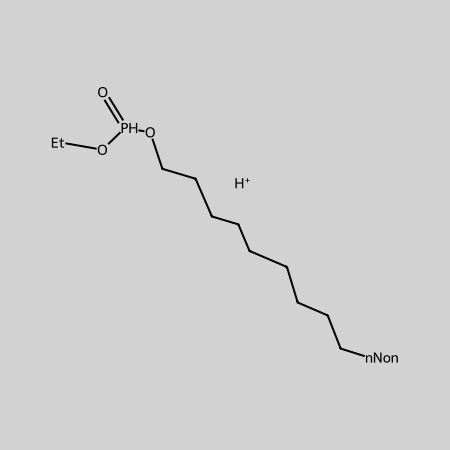 CCCCCCCCCCCCCCCCCCO[PH](=O)OCC.[H+]